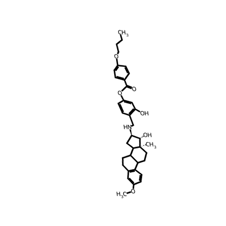 CCCCOc1ccc(C(=O)Oc2ccc(CN[C@@H]3CC4C5CCc6cc(OC)ccc6C5CC[C@]4(C)[C@H]3O)c(O)c2)cc1